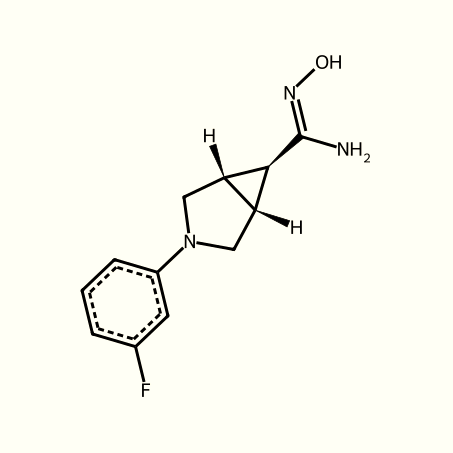 N/C(=N\O)[C@H]1[C@@H]2CN(c3cccc(F)c3)C[C@@H]21